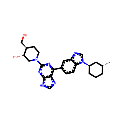 C[C@@H]1CCC[C@@H](n2cnc3cc(-c4nc(N5CC[C@H](CO)[C@@H](O)C5)nc5[nH]cnc45)ccc32)C1